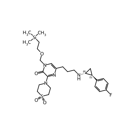 C[Si](C)(C)CCOCn1cc(CCCN[C@@H]2C[C@H]2c2ccc(F)cc2)nc(N2CCS(=O)(=O)CC2)c1=O